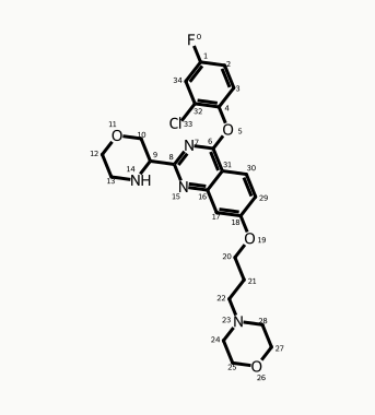 Fc1ccc(Oc2nc(C3COCCN3)nc3cc(OCCCN4CCOCC4)ccc23)c(Cl)c1